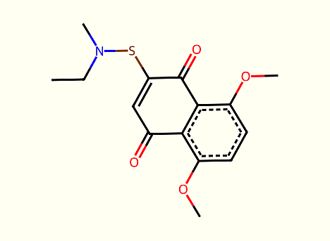 CCN(C)SC1=CC(=O)c2c(OC)ccc(OC)c2C1=O